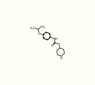 CC(C)Oc1ccc(NC(=O)OC2CCNCC2)cc1